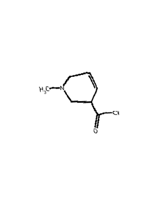 CN1CC=CC(C(=O)Cl)C1